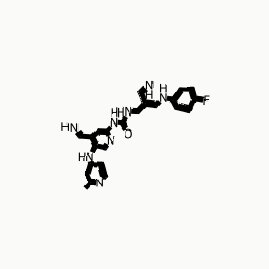 Cc1cc(Nc2cnc(NC(=O)NC/C(C=N)=C/Nc3ccc(F)cc3)cc2C=N)ccn1